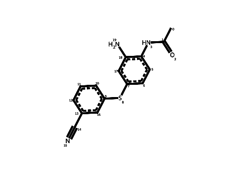 CC(=O)Nc1ccc(Sc2cccc(C#N)c2)cc1N